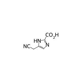 N#CCc1cnc(C(=O)O)[nH]1